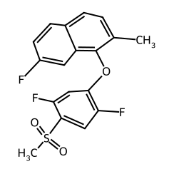 Cc1ccc2ccc(F)cc2c1Oc1cc(F)c(S(C)(=O)=O)cc1F